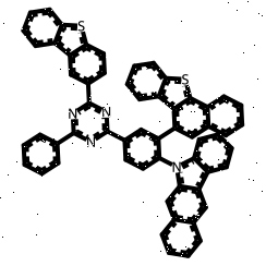 c1ccc(-c2nc(-c3ccc(-n4c5ccccc5c5cc6ccccc6cc54)c(-c4cc5ccccc5c5sc6ccccc6c45)c3)nc(-c3ccc4sc5ccccc5c4c3)n2)cc1